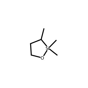 CC1CCO[Si]1(C)C